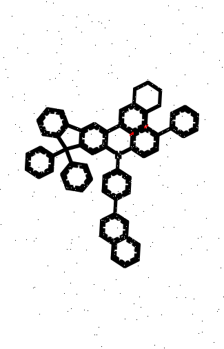 c1ccc(-c2ccc(N(c3ccc(-c4ccc5ccccc5c4)cc3)c3cc4c(cc3-c3ccc5c(c3)CCCC5)-c3ccccc3C4(c3ccccc3)c3ccccc3)cc2)cc1